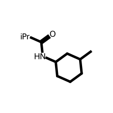 CC1CCCC(NC(=O)C(C)C)C1